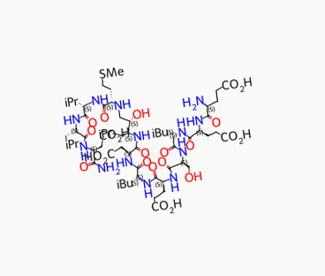 CC[C@H](C)[C@H](NC(=O)[C@H](CCC(=O)O)NC(=O)[C@@H](N)CCC(=O)O)C(=O)N[C@@H](CO)C(=O)N[C@@H](CCC(=O)O)C(=O)N[C@H](C(=O)N[C@@H](CC(=O)O)C(=O)N[C@@H](CC(C)C)[C@@H](O)CN[C@@H](CCSC)C(=O)N[C@H](C(=O)N[C@@H](CC(C)C)C(=O)N[C@@H](CC(=O)O)C(N)=O)C(C)C)[C@@H](C)CC